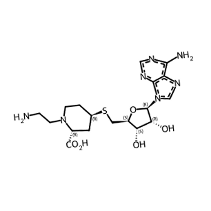 NCCN1CC[C@@H](SC[C@H]2O[C@@H](n3cnc4c(N)ncnc43)[C@H](O)[C@@H]2O)C[C@@H]1C(=O)O